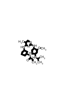 C=CC(=O)Nc1cccc(Nc2nc(Nc3ccc(NC(C)C)cc3OC)ncc2C)c1